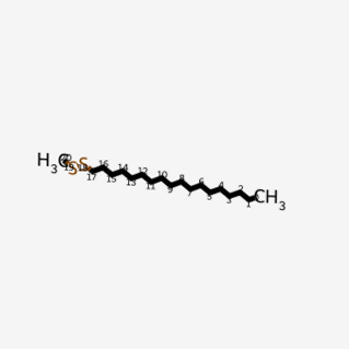 CCCCCCCCCCCCCCCCCCSSC